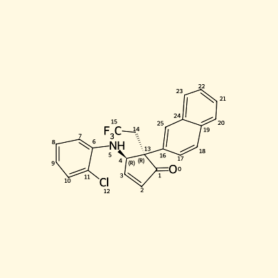 O=C1C=C[C@@H](Nc2ccccc2Cl)[C@@]1(CC(F)(F)F)c1ccc2ccccc2c1